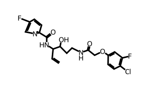 C=CC(NC(=O)c1ccc(F)cn1)C(O)CCNC(=O)COc1ccc(Cl)c(F)c1